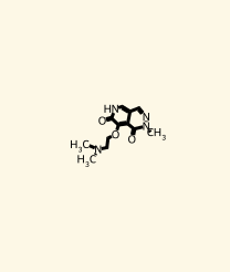 CN(C)CCOc1c(=O)[nH]cc2cnn(C)c(=O)c12